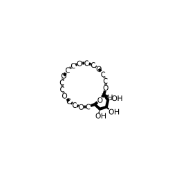 O[C@@H]1[C@@H](O)[C@H]2OCCOCCOCCOCCOCCOCC(O2)[C@H]1O